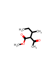 CCC(C)C(C(C)=O)C(=O)OC